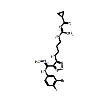 N/C(=N\C(=O)C1CC1)NCCCNc1nonc1/C(=N/O)Nc1ccc(F)c(Br)c1